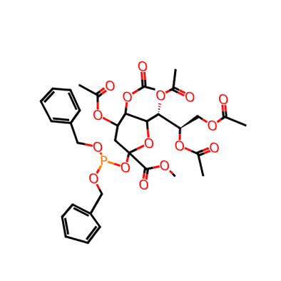 COC(=O)C1(OP(OCc2ccccc2)OCc2ccccc2)CC(OC(C)=O)C(OC(C)=O)C([C@H](OC(C)=O)[C@@H](COC(C)=O)OC(C)=O)O1